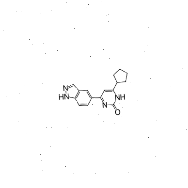 O=c1nc(-c2ccc3[nH]ncc3c2)cc(C2CCCC2)[nH]1